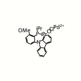 COc1cccc(-n2c3ccccc3c3ccccc32)c1P(C(C)C)C(C)C.[Cl-].[Cl-].[Pd+2]